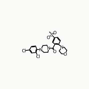 CS(=O)(=O)c1ccc(N2CCOCC2)c(C(=O)N2CCN(c3ccc(Cl)cc3Cl)CC2)c1